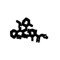 C=C=CNc1ncnc(NC(CC)/C(=C/c2ccccc2C)C(=C=CC)c2ccccc2)c1C